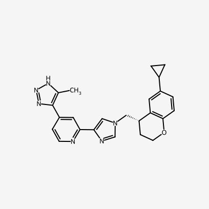 Cc1[nH]nnc1-c1ccnc(-c2cn(C[C@H]3CCOc4ccc(C5CC5)cc43)cn2)c1